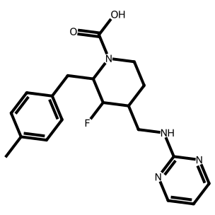 Cc1ccc(CC2C(F)C(CNc3ncccn3)CCN2C(=O)O)cc1